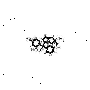 CC1(CO)Cc2ccc(C(C(=O)O)(c3ccccc3)c3ccc(Cl)cc3)n2C1